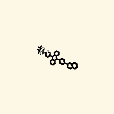 CC1(C)OB(c2ccc(-c3c4ccccc4c(-c4ccc(-c5ccc6ccccc6c5)cc4)c4ccccc34)cn2)OC1(C)C